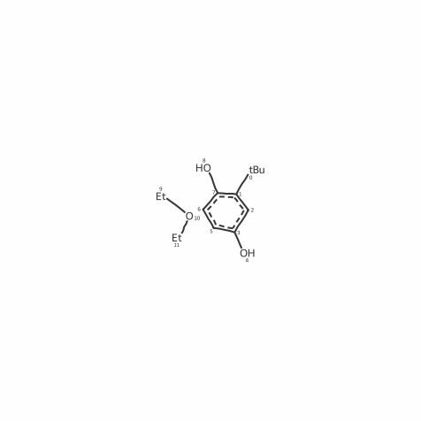 CC(C)(C)c1cc(O)ccc1O.CCOCC